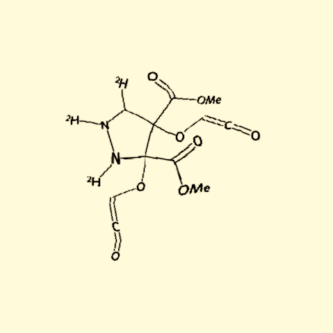 [2H]C1N([2H])N([2H])C(OC=C=O)(C(=O)OC)C1(OC=C=O)C(=O)OC